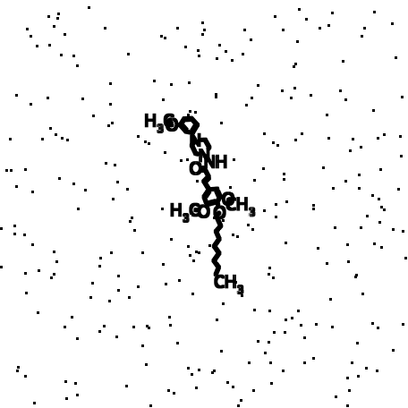 CCCCCCCCCCOc1c(OC)cc(/C=C/C(=O)NN2CCN(c3cccc(OC)c3)CC2)cc1OC